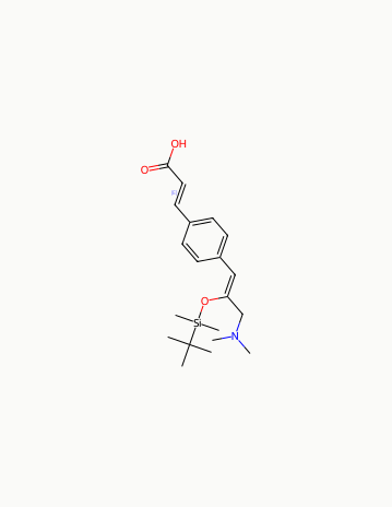 CN(C)CC(=Cc1ccc(/C=C/C(=O)O)cc1)O[Si](C)(C)C(C)(C)C